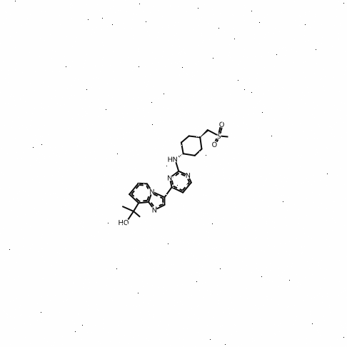 CC(C)(O)c1cccn2c(-c3ccnc(N[C@H]4CC[C@H](CS(C)(=O)=O)CC4)n3)cnc12